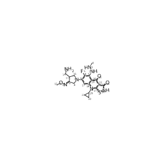 CNNc1c(F)c(N2CC(=NOC)C(CN)C2)cc2c1c(=O)c1c(=O)[nH]sc1n2C1CC1